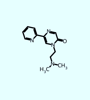 CN(C)CCn1cc(-c2ccccn2)ncc1=O